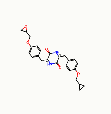 O=C1N[C@H](Cc2ccc(OCC3CO3)cc2)C(=O)N[C@H]1Cc1ccc(OCC2CC2)cc1